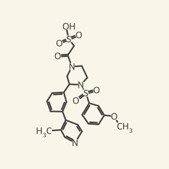 COc1cccc(S(=O)(=O)N2CCN(C(=O)CS(=O)(=O)O)CC2c2cccc(-c3ccncc3C)c2)c1